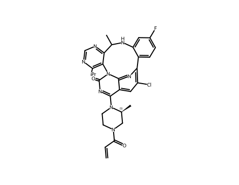 C=CC(=O)N1CCN(c2nc(=O)n3c4nc(c(Cl)cc24)-c2ccc(F)cc2NC(C)c2ncnc(C(C)C)c2-3)[C@@H](C)C1